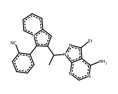 CCc1nn(C(C)c2cc3ccccn3c2-c2ccccc2C#N)c2ncnc(N)c12